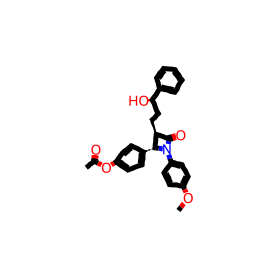 COc1ccc(N2C(=O)[C@H](CC[C@H](O)c3ccccc3)[C@H]2c2ccc(OC(C)=O)cc2)cc1